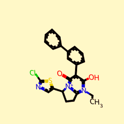 CCn1c(O)c(-c2cccc(-c3ccccc3)c2)c(=O)[n+]2c1CCC2c1cnc(Cl)s1